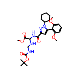 COC(=O)C(NCNC(=O)OC(C)(C)C)NC(=O)c1cc(-c2c(OC)cccc2OC)n(C2CCCCC2)n1